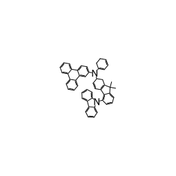 CC1(C)C2=C(C=CC(N(C3=CC=CCC3)c3ccc4c5ccccc5c5ccccc5c4c3)C2)c2c(-n3c4ccccc4c4ccccc43)cccc21